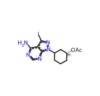 CC(=O)O[C@@H]1CCCC(n2nc(I)c3c(N)ncnc32)C1